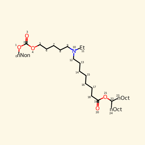 CCCCCCCCCOC(=O)OCCCCCN(CC)CCCCCCCC(=O)OC(CCCCCCCC)CCCCCCCC